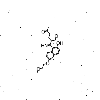 COCCOc1ccc2c(C(=N)C(C=O)CCC(C)=O)c(O)ccc2n1